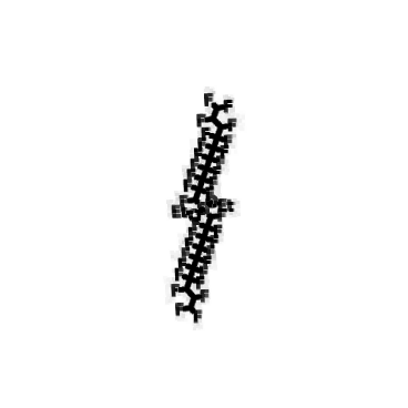 CCO[Si](OCC)(C(F)C(F)(F)C(F)(F)C(F)(F)C(F)(F)C(F)(F)C(F)(F)C(F)C(F)C(F)F)C(F)C(F)(F)C(F)(F)C(F)(F)C(F)(F)C(F)(F)C(F)(F)C(F)C(F)C(F)F